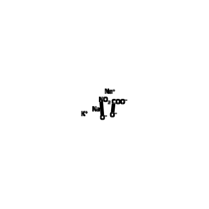 O=C([O-])[O-].O=[N+]([O-])[O-].[K+].[Na+].[Na+]